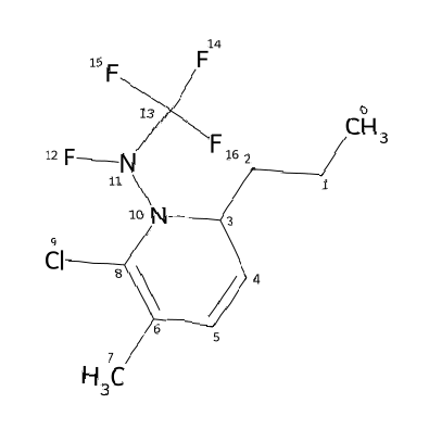 CCCC1C=CC(C)=C(Cl)N1N(F)C(F)(F)F